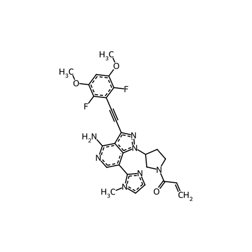 C=CC(=O)N1CCC(n2nc(C#Cc3c(F)c(OC)cc(OC)c3F)c3c(N)ncc(-c4nccn4C)c32)C1